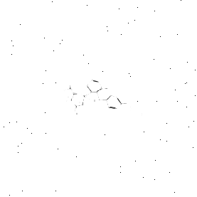 COc1ccc(Cc2c(Cl)cccc2[C@@]2(O)O[C@H]([C@H](C)O)[C@@H](O)[C@H](O)[C@H]2O)cc1